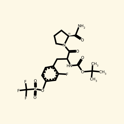 CC(C)(C)OC(=O)NC(Cc1ccc(OS(=O)(=O)C(F)(F)F)cc1F)C(=O)N1CCC[C@H]1C(N)=O